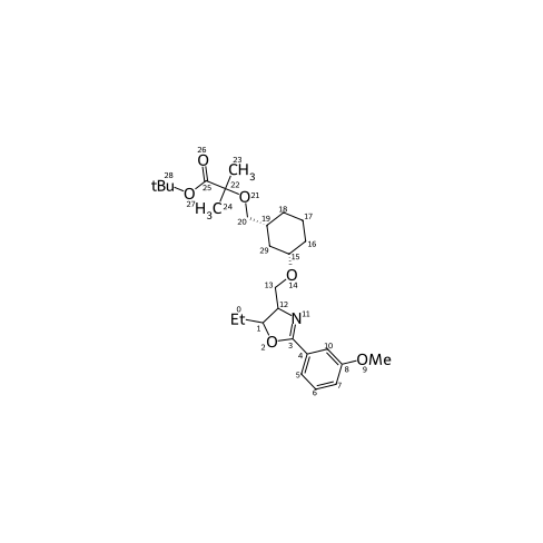 CCC1OC(c2cccc(OC)c2)=NC1CO[C@H]1CCC[C@@H](COC(C)(C)C(=O)OC(C)(C)C)C1